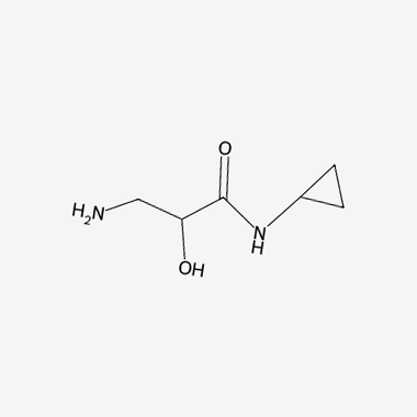 NCC(O)C(=O)NC1CC1